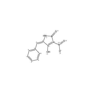 O=C1NC(=Cc2ccccc2)C(O)=C1[N+](=O)[O-]